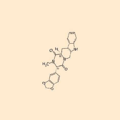 CN1C(=O)[C@H]2Cc3c([nH]c4ccccc34)CN2C(=O)[C@@H]1c1ccc2c(c1)OCO2